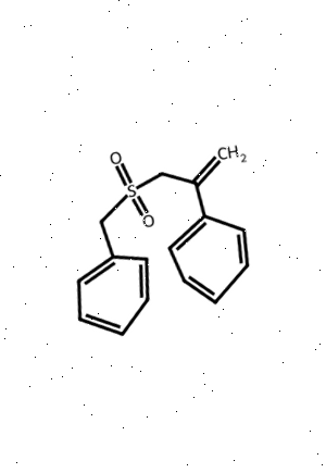 C=C(CS(=O)(=O)Cc1ccccc1)c1ccccc1